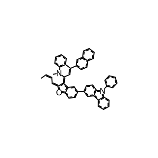 C\C=C/C=c1/oc2ccc(-c3ccc4c(c3)c3ccccc3n4-c3ccccc3)cc2/c1=C1\C=C(c2ccc3ccccc3c2)c2ccccc2N1C